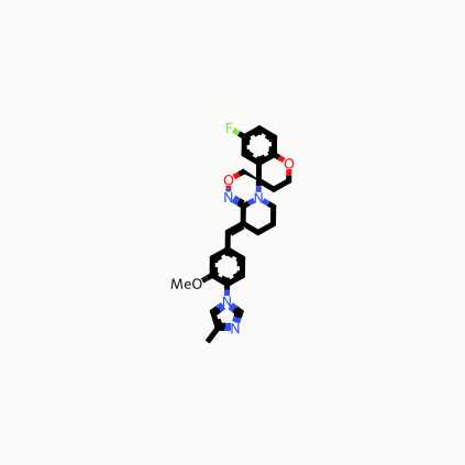 COc1cc(/C=C2\CCCN3C2=NOC[C@@]32CCOc3ccc(F)cc32)ccc1-n1cnc(C)c1